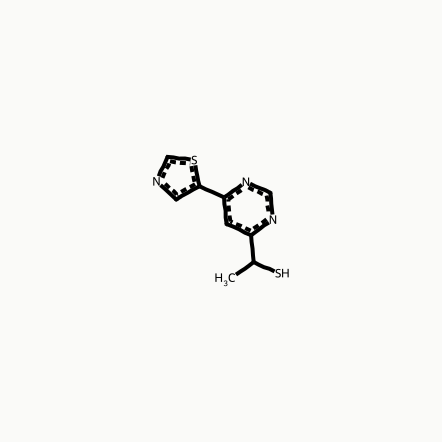 CC(S)c1cc(-c2cncs2)ncn1